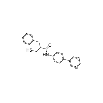 O=C(Nc1ccc(-c2cncnc2)cc1)C(CS)Cc1ccccc1